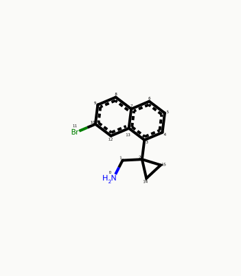 NCC1(c2cccc3ccc(Br)cc23)CC1